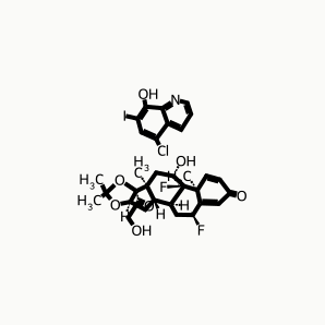 CC1(C)O[C@@H]2C[C@H]3[C@@H]4C[C@H](F)C5=CC(=O)C=C[C@]5(C)[C@@]4(F)[C@@H](O)C[C@]3(C)[C@]2(C(=O)CO)O1.Oc1c(I)cc(Cl)c2cccnc12